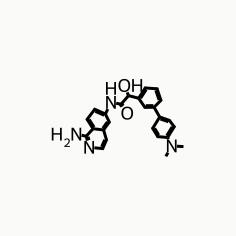 CN(C)c1ccc(-c2cccc(C(O)C(=O)Nc3ccc4c(N)nccc4c3)c2)cc1